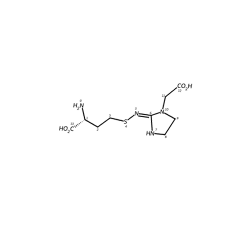 N[C@H](CCS/N=C1\NCCN1CC(=O)O)C(=O)O